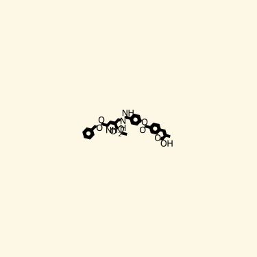 CCOC(=O)C(=CC(N)C(=O)OCc1ccccc1)CNC(=N)c1ccc(OC(=O)c2ccc(C=C(C)C(=O)O)cc2)cc1